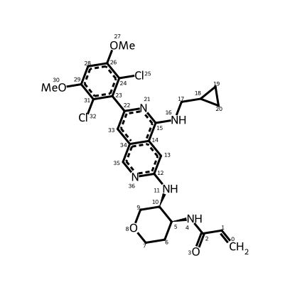 C=CC(=O)N[C@H]1CCOC[C@H]1Nc1cc2c(NCC3CC3)nc(-c3c(Cl)c(OC)cc(OC)c3Cl)cc2cn1